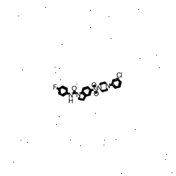 O=C(Nc1ccc(F)cc1)N1CCc2cc(S(=O)(=O)N3CCN(c4cccc(Cl)c4)CC3)ccc21